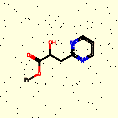 CC(C)OC(=O)C(O)Cc1ncccn1